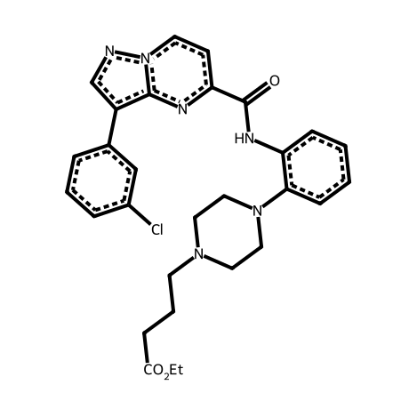 CCOC(=O)CCCN1CCN(c2ccccc2NC(=O)c2ccn3ncc(-c4cccc(Cl)c4)c3n2)CC1